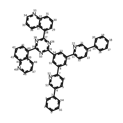 c1ccc(-c2ccc(-c3cc(-c4ccc(-c5ccccc5)cn4)cc(-c4nc(-c5cccc6ncccc56)nc(-c5cccc6ncccc56)n4)c3)nc2)cc1